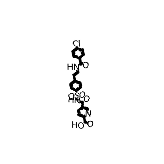 O=C(NCCc1ccc(S(=O)(=O)NC(=O)c2ccc(C(=O)O)nc2)cc1)c1ccc(Cl)cc1